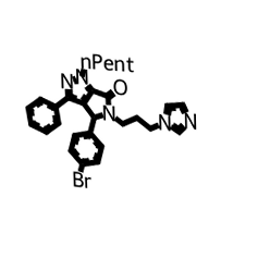 CCCCCn1nc(-c2ccccc2)c2c1C(=O)N(CCCn1ccnc1)C2c1ccc(Br)cc1